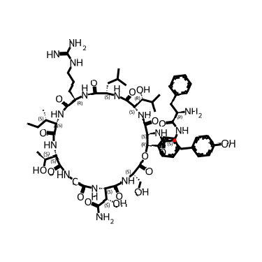 CC[C@H](C)[C@@H]1NC(=O)[C@@H](CCCNC(=N)N)NC(=O)[C@H](CC(C)C)NC(=O)[C@H]([C@H](O)C(C)C)NC(=O)[C@@H](NC(=O)[C@H](Cc2ccc(O)cc2)NC(=O)[C@H](N)Cc2ccccc2)[C@@H](c2ccccc2)OC(=O)[C@H](CO)NC(=O)[C@H]([C@H](O)C(N)=O)NC(=O)CNC(=O)[C@H]([C@H](C)O)NC1=O